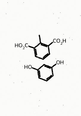 Cc1c(C(=O)O)cccc1C(=O)O.Oc1cccc(O)c1